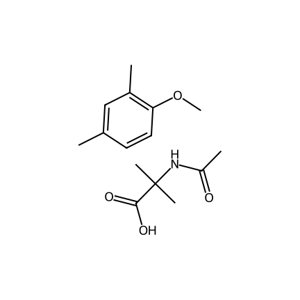 CC(=O)NC(C)(C)C(=O)O.COc1ccc(C)cc1C